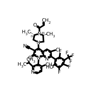 C=CC(=O)N1[C@H](C)CN(c2c(C#N)c(=O)n(-c3c(C)ccnc3C(C)C)c3nc(-c4c(O)c(F)c(F)c(C(F)(F)F)c4F)c(Cl)cc23)C[C@@H]1C